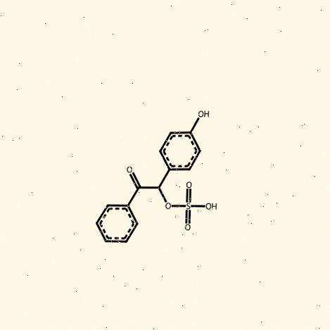 O=C(c1ccccc1)C(OS(=O)(=O)O)c1ccc(O)cc1